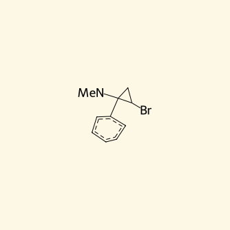 CNC1(c2ccccc2)CC1Br